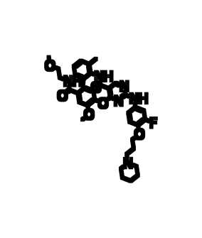 COCCNC(=O)c1ccc(Oc2nc(Nc3ccc(OCCCN4CCCCC4)c(F)c3)ncc2C(=O)Nc2c(C)cccc2C)c(OC)c1